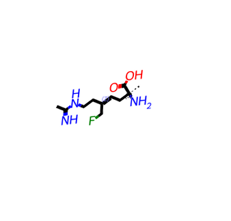 CC(=N)NCC/C(=C/C[C@](C)(N)C(=O)O)CF